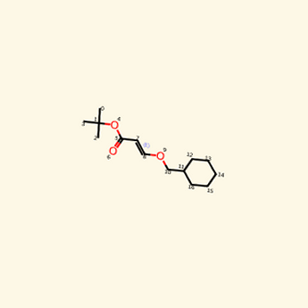 CC(C)(C)OC(=O)/C=C/OCC1CCCCC1